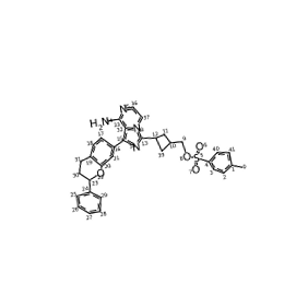 Cc1ccc(S(=O)(=O)OCC2CC(c3nc(-c4ccc5c(c4)OC(c4ccccc4)CC5)c4c(N)nccn34)C2)cc1